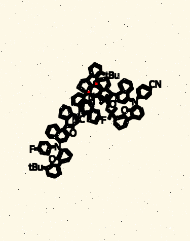 CC(C)(C)c1cccc2c1oc1c(N(c3ccc(F)cc3)c3cc4oc5cc(N(c6ccc(F)cc6)c6cccc7c6oc6c(C(C)(C)CCC(C)(C)c8cccc9c8oc8c(N(c%10ccc(C#N)cc%10)c%10cc%11oc%12cc(N(c%13ccc(C#N)cc%13)c%13cccc%14c%13oc%13c(C(C)(C)C)cccc%13%14)c%13ccccc%13c%12c%11c%11ccccc%10%11)cccc89)cccc67)c6ccccc6c5c4c4ccccc34)cccc12